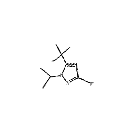 CC(C)n1nc(F)cc1C(C)(C)C